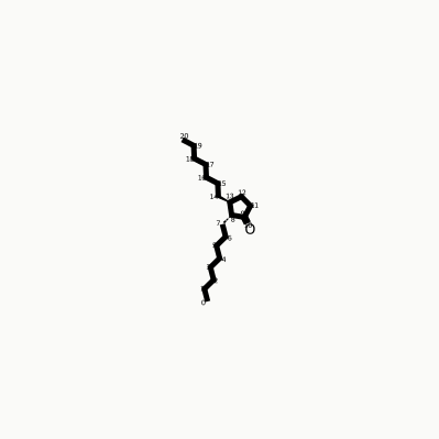 CCCCCCCC[C@H]1C(=O)CC[C@@H]1CCCCCCC